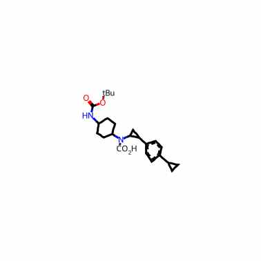 CC(C)(C)OC(=O)NC1CCC(N(C(=O)O)C2CC2c2ccc(C3CC3)cc2)CC1